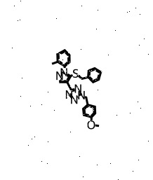 COc1ccc(Cn2nnc(-c3cnn(-c4ccccc4C)c3SCc3ccccc3)n2)cc1